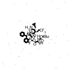 CC(C)[C@H](NC(=O)OC(C)(C)C)C(=O)OCN1C(=O)[C@@H](NC(=O)[C@H](CCC(F)(F)F)[C@@H](CC2CC2)C(N)=O)N=C(c2ccccc2)c2cccc(F)c21